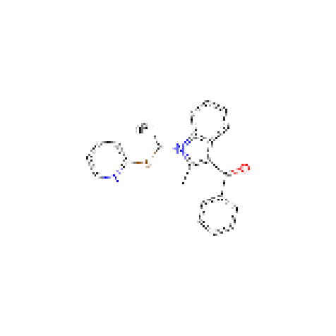 CCCC(Sc1ccccn1)n1c(C)c(C(=O)c2ccccc2)c2ccccc21